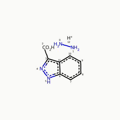 NN.O=C(O)c1n[nH]c2ccccc12.[H+]